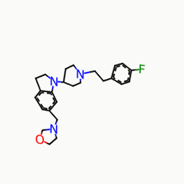 Fc1ccc(CCN2CCC(N3CCc4ccc(CN5CCOC5)cc43)CC2)cc1